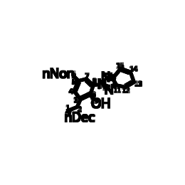 CCCCCCCCCCCCc1cc(CCCCCCCCC)cc(-n2nc3ccccc3n2)c1O